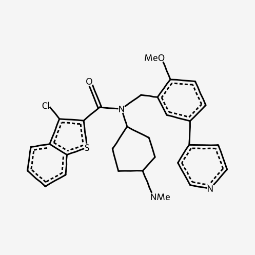 CNC1CCC(N(Cc2cc(-c3ccncc3)ccc2OC)C(=O)c2sc3ccccc3c2Cl)CC1